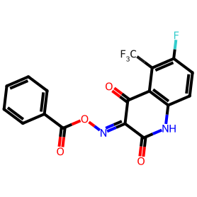 O=C1Nc2ccc(F)c(C(F)(F)F)c2C(=O)C1=NOC(=O)c1ccccc1